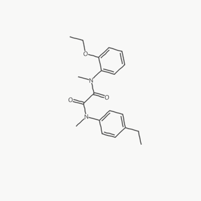 CCOc1ccccc1N(C)C(=O)C(=O)N(C)c1ccc(CC)cc1